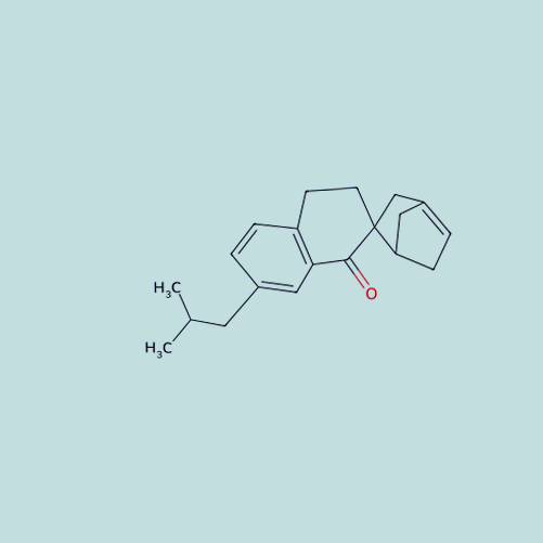 CC(C)Cc1ccc2c(c1)C(=O)C1(CC2)CC2=CCC1C2